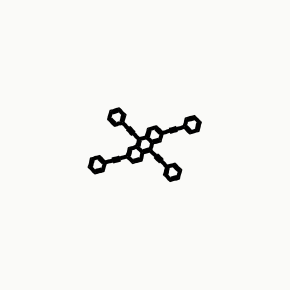 C(#Cc1ccc2c(C#Cc3ccccc3)c3cc(C#Cc4ccccc4)ccc3c(C#Cc3ccccc3)c2c1)c1ccccc1